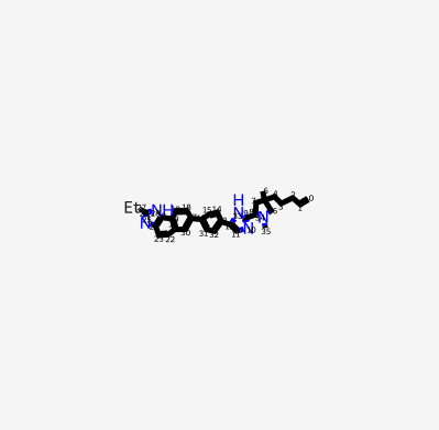 C=CCCCC1(C)CC(c2ncc(-c3ccc(-c4ccc5c(ccc6nc(CC)[nH]c65)c4)cc3)[nH]2)N(C)C1